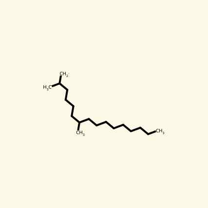 [CH2]C(C)CCCCC(C)CCCCCCCCC